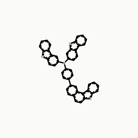 c1ccc2c(c1)oc1cc(N(c3ccc(-c4ccc5ccc6sc7ccccc7c6c5c4)cc3)c3ccc4oc5ccccc5c4c3)ccc12